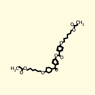 C=CC(=O)OCCCCCCOc1ccc(C(=O)Oc2ccc(C(=O)C3CCC(OCCCCCCOC(=O)C=C)CC3)cc2)cc1